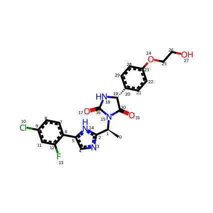 C[C@@H](c1ncc(-c2ccc(Cl)cc2F)[nH]1)N1C(=O)N[C@H](c2ccc(OCCO)cc2)C1=O